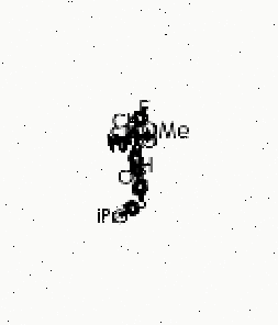 COC(=O)C1=C(CN2CCN3C(=O)N(c4ccc(Sc5ccc(OC(C)C)cc5)cc4)C[C@@H]3C2)NC(c2nccs2)=N[C@H]1c1ccc(F)cc1Cl